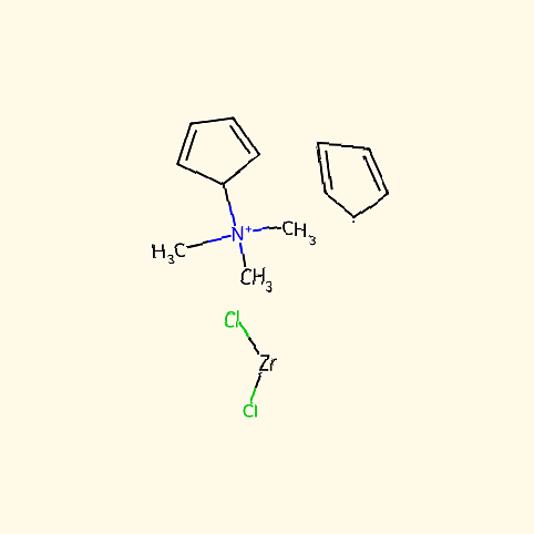 C[N+](C)(C)C1C=CC=C1.[CH]1C=CC=C1.[Cl][Zr][Cl]